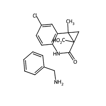 CC12CC1(C(=O)O)C(=O)Nc1ccc(Cl)cc12.NCc1ccccc1